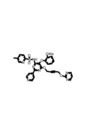 COc1ccccc1Oc1c(NS(=O)(=O)c2ccc(C)cn2)nc(-c2ccncc2)nc1OCC#CCOc1ncccn1